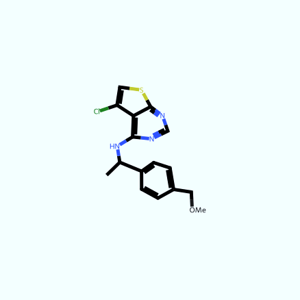 COCc1ccc(C(C)Nc2ncnc3scc(Cl)c23)cc1